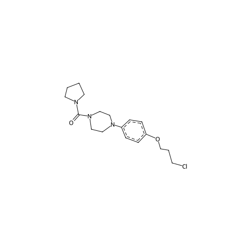 O=C(N1CCCC1)N1CCN(c2ccc(OCCCCl)cc2)CC1